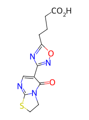 O=C(O)CCCc1nc(-c2cnc3n(c2=O)CCS3)no1